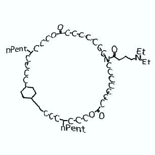 CCCCCC1CCCCC2CCC(CCCCC(CCCCC)CCCOC(=O)CCCCCCCN(C(=O)CCCN(CC)CC)CCCCCCCC(=O)OCCC1)CC2